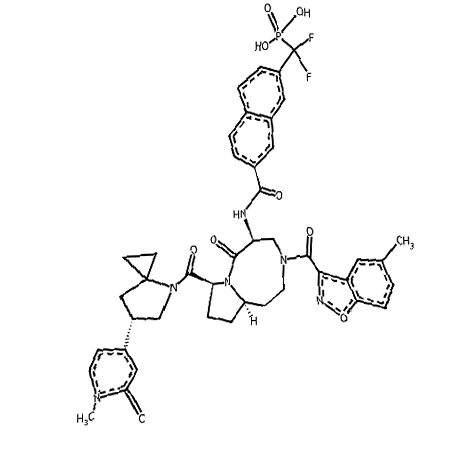 Cc1ccc2onc(C(=O)N3CC[C@H]4CC[C@@H](C(=O)N5C[C@H](c6ccn(C)c(=O)c6)CC56CC6)N4C(=O)[C@@H](NC(=O)c4ccc5ccc(C(F)(F)P(=O)(O)O)cc5c4)C3)c2c1